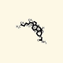 CC(C)CCC[C@@H](C)[C@H]1CC[C@H]2[C@@H]3C[C@@H]4OC45C[C@@H](CC(N)=O)CC[C@]5(C)[C@H]3CC[C@]12C